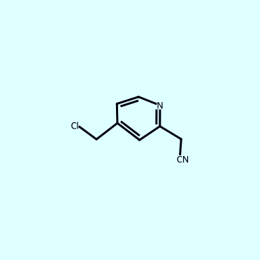 N#CCc1cc(CCl)ccn1